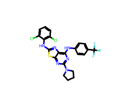 FC(F)(F)c1ccc(Nc2nc(N3CCCC3)nc3sc(Nc4c(Cl)cccc4Cl)nc23)cc1